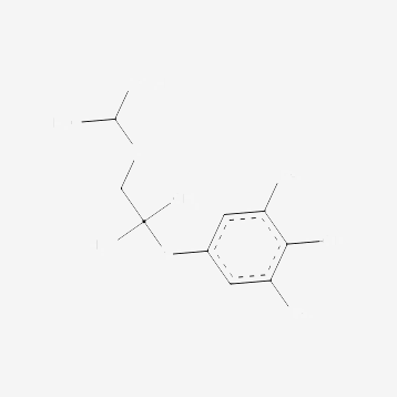 CC(SCC(C)(C)Sc1cc(C(C)(C)C)c(O)c(C(C)(C)C)c1)C(=O)O